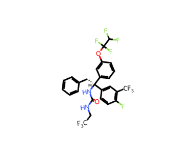 O=C(NCC(F)(F)F)N[C@@](Cc1ccccc1)(c1cccc(OC(F)(F)C(F)F)c1)c1ccc(F)c(C(F)(F)F)c1